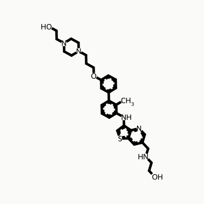 Cc1c(Nc2csc3cc(CNCCO)cnc23)cccc1-c1cccc(OCCCN2CCN(CCO)CC2)c1